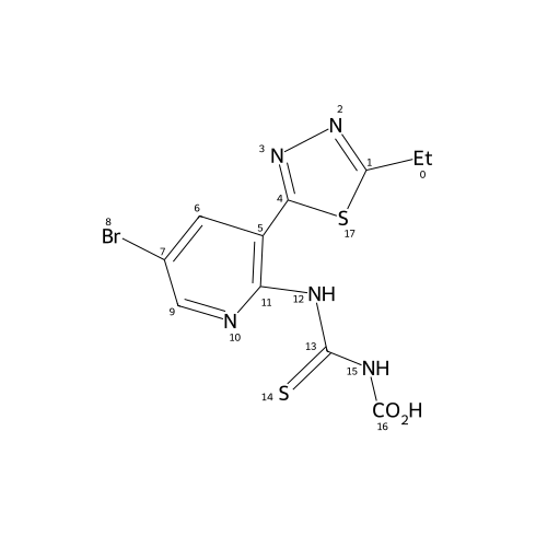 CCc1nnc(-c2cc(Br)cnc2NC(=S)NC(=O)O)s1